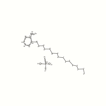 CCCCCCCCCCCCCCCCc1cccc[c]1[Mo+3].[O-]P([O-])(=S)[S-]